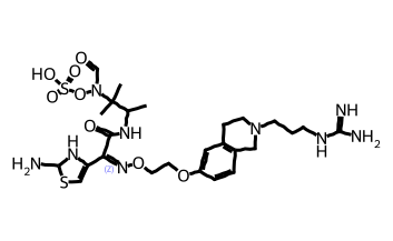 CC(NC(=O)/C(=N\OCCOc1ccc2c(c1)CCN(CCCNC(=N)N)C2)C1=CSC(N)N1)C(C)(C)N(C=O)OS(=O)(=O)O